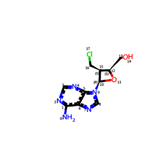 Nc1ncnc2c1ncn2[C@@H]1O[C@H](CO)[C@@H]1CCl